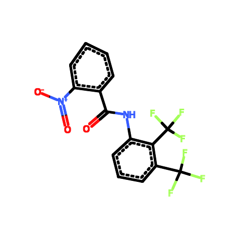 O=C(Nc1cccc(C(F)(F)F)c1C(F)(F)F)c1ccccc1[N+](=O)[O-]